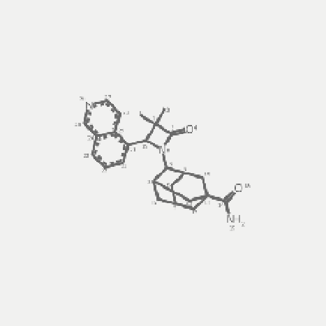 CC1(C)C(=O)N(C2C3CC4CC2CC(C(N)=O)(C4)C3)C1c1cccc2cnccc12